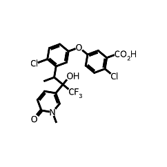 CC(c1cc(Oc2ccc(Cl)c(C(=O)O)c2)ccc1Cl)C(O)(c1ccc(=O)n(C)c1)C(F)(F)F